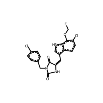 O=C1NC(=Cc2c[nH]c3c(OCF)c(Cl)ccc23)C(=O)N1Cc1ccc(Cl)cc1